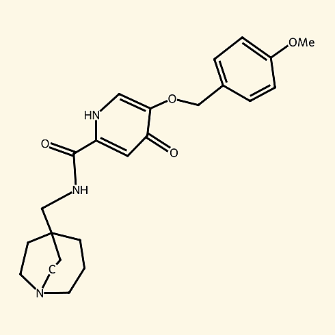 COc1ccc(COc2c[nH]c(C(=O)NCC34CCCN(CC3)CC4)cc2=O)cc1